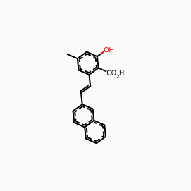 Cc1cc(O)c(C(=O)O)c(C=Cc2ccc3ccccc3c2)c1